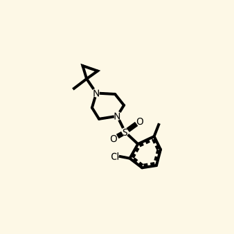 Cc1cccc(Cl)c1S(=O)(=O)N1CCN(C2(C)CC2)CC1